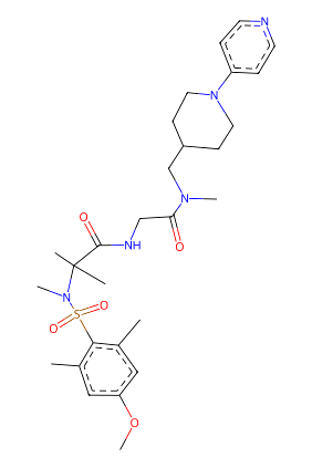 COc1cc(C)c(S(=O)(=O)N(C)C(C)(C)C(=O)NCC(=O)N(C)CC2CCN(c3ccncc3)CC2)c(C)c1